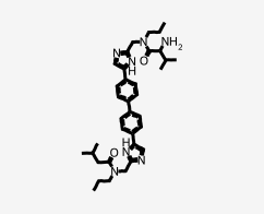 CCCN(Cc1ncc(-c2ccc(-c3ccc(-c4cnc(CN(CCC)C(=O)C(N)C(C)C)[nH]4)cc3)cc2)[nH]1)C(=O)CC(C)C